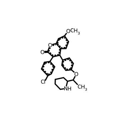 COc1ccc2c(-c3ccc(OC(C)C4CCCCN4)cc3)c(-c3ccc(Cl)cc3)c(=O)oc2c1